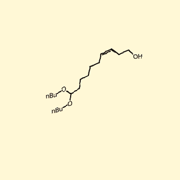 CCCCOC(CCCCC/C=C\CCO)OCCCC